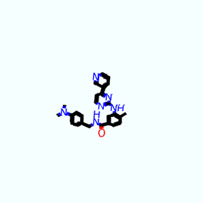 Cc1ccc(C(=O)NCc2ccc(N(C)C)cc2)cc1Nc1nccc(-c2cccnc2)n1